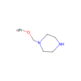 CCCOCN1CCNCC1